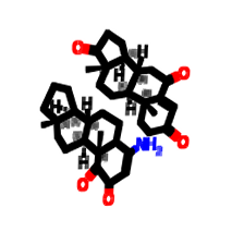 C[C@@]12CCC[C@H]1[C@@H]1CCC3C(N)=CC(=O)C(=O)[C@]3(C)[C@H]1CC2.C[C@]12CCC(=O)C=C1C(=O)C[C@@H]1[C@@H]2CC[C@]2(C)C(=O)CC[C@@H]12